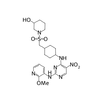 COc1ncccc1Nc1ncc([N+](=O)[O-])c(NC2CCC(CS(=O)(=O)N3CCCC(O)C3)CC2)n1